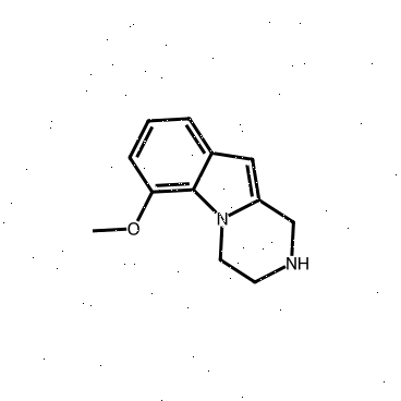 COc1cccc2cc3n(c12)CCNC3